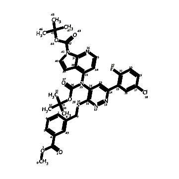 COC(=O)c1cccc(CSc2nnc(-c3cc(Cl)ccc3F)cc2N(C(=O)OC(C)(C)C)c2ccnc3c2ccn3C(=O)OC(C)(C)C)c1